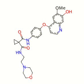 COc1cc2c(Oc3ccc(NC(=O)C4(C(=O)NCCN5CCOCC5)CC4)cc3)ccnc2cc1O